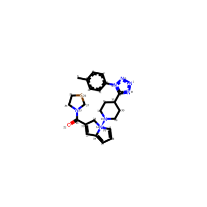 Cc1ccc(-n2nnnc2C2CCN([N@@+]34C=CC=C3C=C(C(=O)N3CCSC3)C4)CC2)cc1